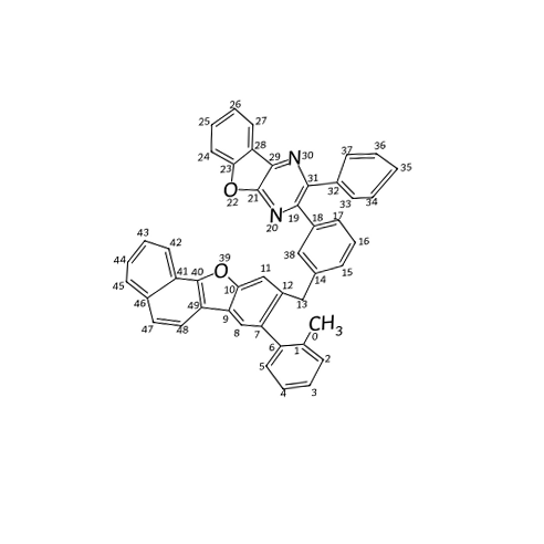 Cc1ccccc1-c1cc2c(cc1Cc1cccc(-c3nc4oc5ccccc5c4nc3-c3ccccc3)c1)oc1c3ccccc3ccc21